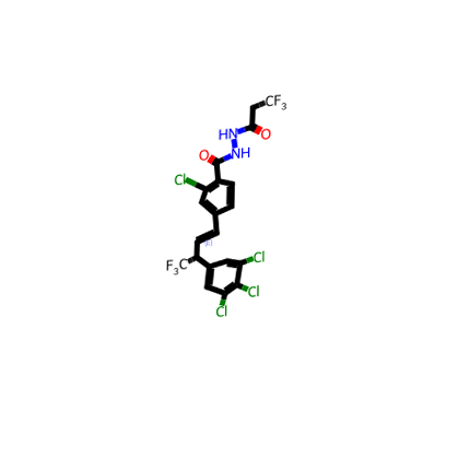 O=C(CC(F)(F)F)NNC(=O)c1ccc(/C=C/C(c2cc(Cl)c(Cl)c(Cl)c2)C(F)(F)F)cc1Cl